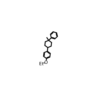 CCOc1ccc(C2CCC(C)(c3ccccc3)CC2)cc1